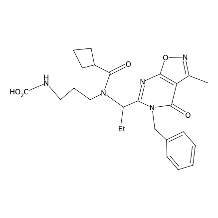 CCC(c1nc2onc(C)c2c(=O)n1Cc1ccccc1)N(CCCNC(=O)O)C(=O)C1CCC1